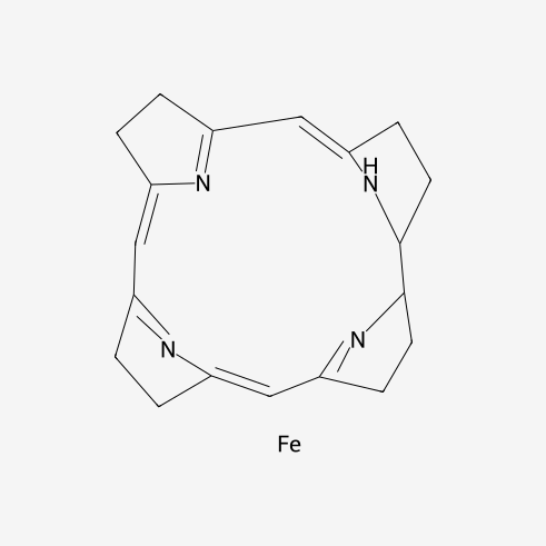 C1=C2/CCC(=N2)/C=C2/CCC(N2)C2CCC(=N2)/C=C2/CCC/1=N2.[Fe]